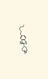 CC[C@@H](C)CCCc1ccc2sc([C@@H]3CCN(C)C[C@H]3C)nc2c1